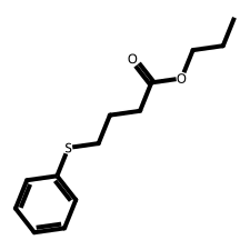 CCCOC(=O)CCCSc1ccccc1